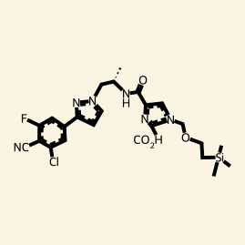 C[C@@H](Cn1ccc(-c2cc(F)c(C#N)c(Cl)c2)n1)NC(=O)c1cn(COCC[Si](C)(C)C)c(C(=O)O)n1